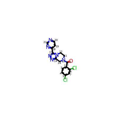 O=C(c1ccc(Cl)cc1Cl)N1CCn2c(nnc2-c2ccncn2)C1